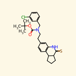 CC(C)(C)OC(=O)N(CCc1ccc2c(c1)NC(=S)C1CCCC21)Cc1cccc(Cl)c1